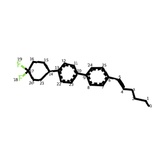 CCCCC=Cc1ccc(-c2ccc(C3CCC(F)(F)CC3)cc2)cc1